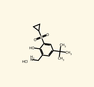 CC(C)(C)c1cc(CN)c(O)c(S(=O)(=O)C2CC2)c1.Cl